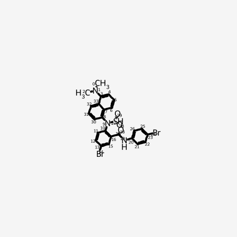 CN(C)c1cccc2c(N(c3ccc(Br)cc3C(=O)Nc3ccc(Br)cc3)[SH](=O)=O)cccc12